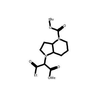 CCC(=O)C(C(=O)OC)N1CCC2C1CCCN2C(=O)OC(C)(C)C